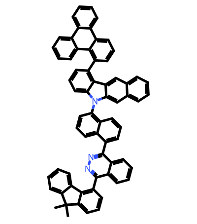 CC1(C)c2ccccc2-c2c(-c3nnc(-c4cccc5c(-n6c7cc8ccccc8cc7c7c(-c8cccc9c%10ccccc%10c%10ccccc%10c89)cccc76)cccc45)c4ccccc34)cccc21